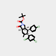 CC1=C[C@H]2C(=O)N(C(=O)OC(C)(C)C)C[C@H]2[C@@H](c2ccc(Cl)cc2)[C@H]1c1ccc(Cl)cc1Cl